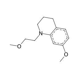 COCCN1CCCc2ccc(OC)cc21